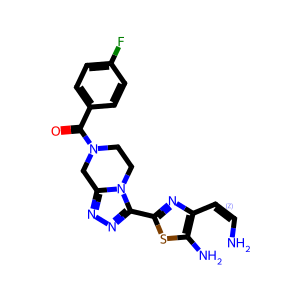 N/C=C\c1nc(-c2nnc3n2CCN(C(=O)c2ccc(F)cc2)C3)sc1N